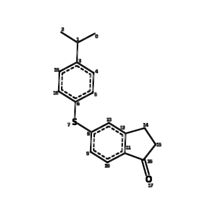 CC(C)c1ccc(Sc2ccc3c(c2)CCC3=O)cc1